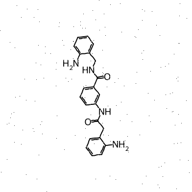 Nc1ccccc1CNC(=O)c1cccc(NC(=O)Cc2ccccc2N)c1